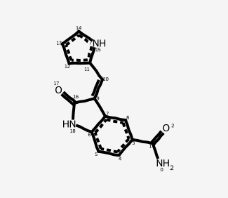 NC(=O)c1ccc2c(c1)C(=Cc1ccc[nH]1)C(=O)N2